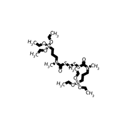 CCO[Si](CCCN(C)C(=O)SSSSC(=O)N(C)CCC[Si](OCC)(OCC)OCC)(OCC)OCC